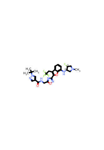 CN1C[C@H](F)[C@H](Nc2cccc3c(CC(F)(F)F)c(-c4noc(CNC(=O)c5cnn(C(C)(C)C)c5)n4)oc23)C1